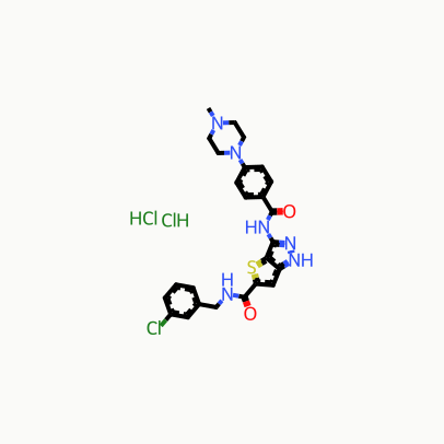 CN1CCN(c2ccc(C(=O)Nc3n[nH]c4cc(C(=O)NCc5cccc(Cl)c5)sc34)cc2)CC1.Cl.Cl